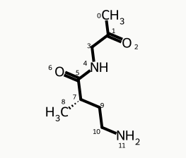 CC(=O)CNC(=O)[C@@H](C)CCN